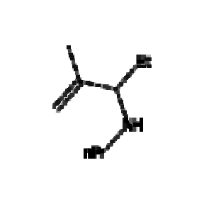 C=C(C)C(CC)NCCC